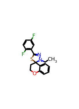 CCN1N=C(c2cc(F)ccc2F)SC12CCOc1ccccc12